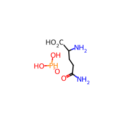 NC(=O)CCC(N)C(=O)O.O=[PH](O)O